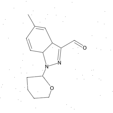 CC1=CC2C(C=O)=NN(C3CCCCO3)C2C=C1